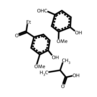 CC(C)C(=O)O.CCC(=O)c1ccc(O)c(OC)c1.COc1cc(C=O)ccc1O